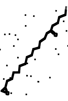 O=C(CCCCI)CCCCCCCCCCCCCC1CO1